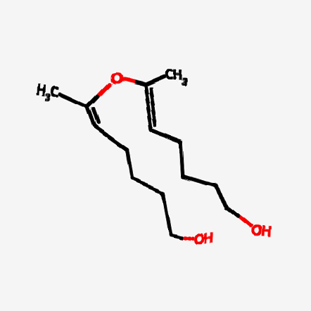 CC(=CCCCCO)OC(C)=CCCCCO